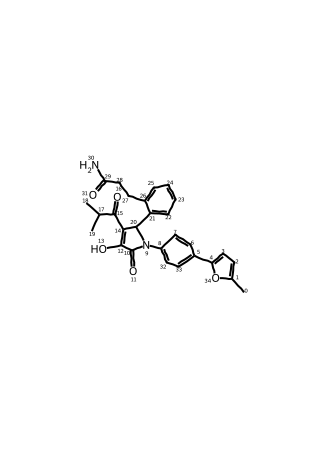 Cc1ccc(-c2ccc(N3C(=O)C(O)=C(C(=O)C(C)C)C3c3ccccc3CCC(N)=O)cc2)o1